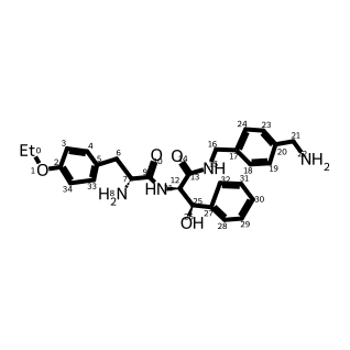 CCOc1ccc(C[C@@H](N)C(=O)N[C@@H](C(=O)NCc2ccc(CN)cc2)[C@H](O)c2ccccc2)cc1